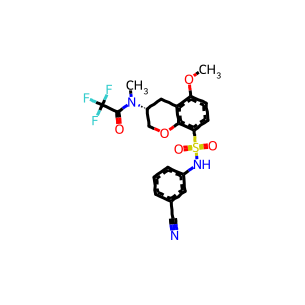 COc1ccc(S(=O)(=O)Nc2cccc(C#N)c2)c2c1C[C@@H](N(C)C(=O)C(F)(F)F)CO2